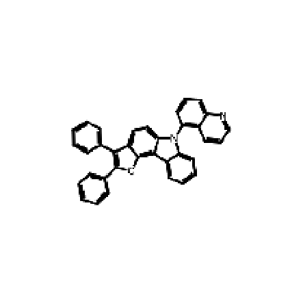 c1ccc(-c2oc3c(ccc4c3c3ccccc3n4-c3cccc4ncccc34)c2-c2ccccc2)cc1